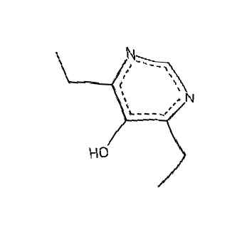 CCc1ncnc(CC)c1O